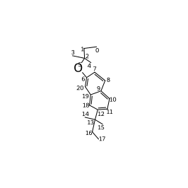 CCC(C)(C)Oc1ccc2ccc(C(C)(C)CC)cc2c1